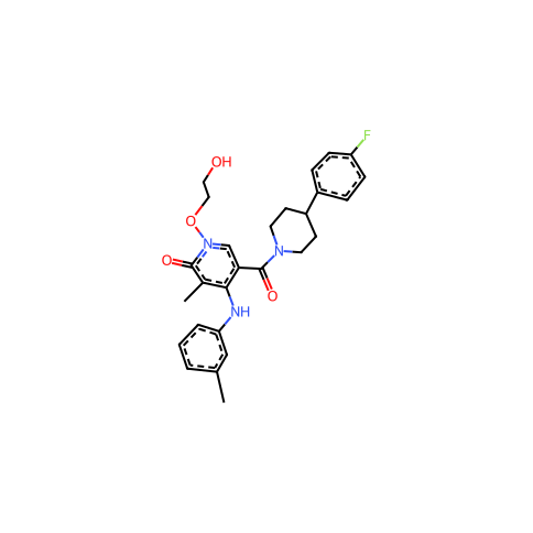 Cc1cccc(Nc2c(C(=O)N3CCC(c4ccc(F)cc4)CC3)cn(OCCO)c(=O)c2C)c1